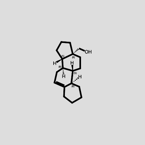 OC[C@@]12CCC[C@H]1[C@@H]1CC=C3CCCC[C@@H]3[C@H]1CC2